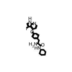 NC(Cc1ccc(Oc2ccnc3[nH]cc(I)c23)cc1)C(=O)NC1CCCCC1